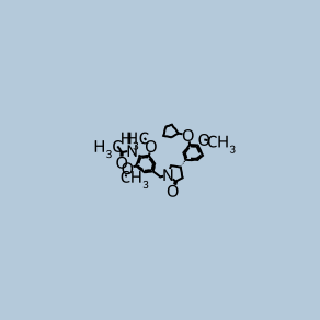 COc1ccc([C@@H]2CC(=O)N(Cc3cc(OC)c(NC(C)=O)c(OC)c3)C2)cc1OC1CCCC1